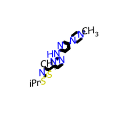 Cc1nc(SC(C)C)sc1-c1ccnc(Nc2ccc(N3CCN(C)CC3)cn2)n1